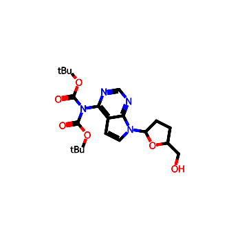 CC(C)(C)OC(=O)N(C(=O)OC(C)(C)C)c1ncnc2c1ccn2C1CCC(CO)O1